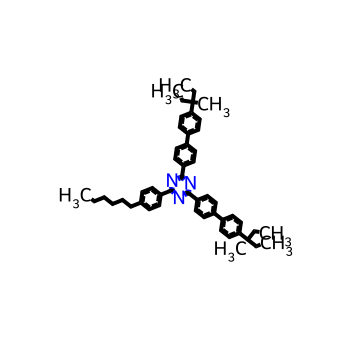 CCCCCCc1ccc(-c2nc(-c3ccc(-c4ccc(C(C)(CC)CC)cc4)cc3)nc(-c3ccc(-c4ccc(C(C)(CC)CC)cc4)cc3)n2)cc1